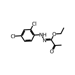 CCOC(=NNc1ccc(Cl)cc1Cl)C(C)=O